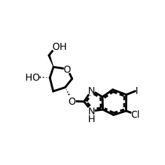 OC[C@H]1OC[C@H](Oc2nc3cc(I)c(Cl)cc3[nH]2)C[C@@H]1O